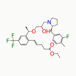 CCOC(=O)CC/C=C/c1ccc(C(F)(F)F)cc1[C@@H](C)OC[C@H](O)CN1CCC[C@H]1Cc1ccc(C)c(F)c1